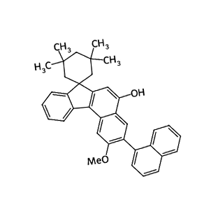 COc1cc2c3c(cc(O)c2cc1-c1cccc2ccccc12)C1(CC(C)(C)CC(C)(C)C1)c1ccccc1-3